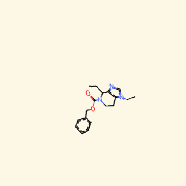 CCC1c2ncn(CC)c2CCN1C(=O)OCc1ccccc1